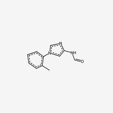 Cc1ccccc1-n1cnc(NC=O)c1